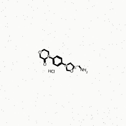 Cl.NC[C@H]1CN(c2ccc(N3CCOCC3=O)cc2)CO1